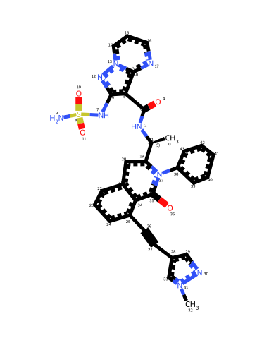 C[C@H](NC(=O)c1c(NS(N)(=O)=O)nn2cccnc12)c1cc2cccc(C#Cc3cnn(C)c3)c2c(=O)n1-c1ccccc1